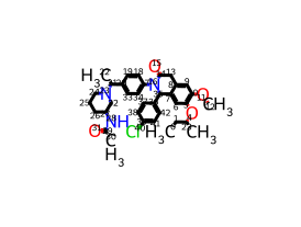 CCC(C)Oc1cc2c(cc1OC)CC(=O)N(c1ccc(C(C)N3CCCC(NC(C)=O)C3)cc1)C2c1ccc(Cl)cc1